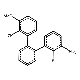 COc1cccc(-c2ccccc2-c2cccc([N+](=O)[O-])c2F)c1Cl